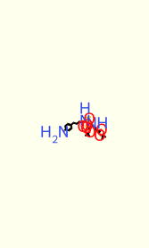 CC(C)(C)OC(=O)CC[C@H](NS(=O)(=O)NC(=O)CCCc1ccc(N)cc1)C(=O)OC(C)(C)C